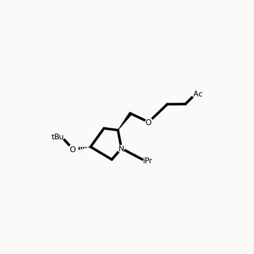 CC(=O)CCOC[C@@H]1C[C@@H](OC(C)(C)C)CN1C(C)C